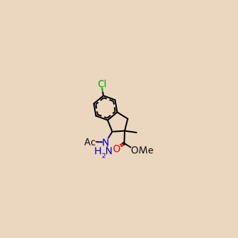 COC(=O)C1(C)Cc2cc(Cl)ccc2C1N(N)C(C)=O